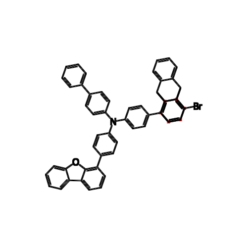 Brc1ccc(-c2ccc(N(c3ccc(-c4ccccc4)cc3)c3ccc(-c4cccc5c4oc4ccccc45)cc3)cc2)c2c1C1c3ccccc3C2c2ccccc21